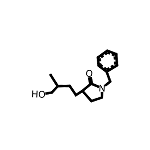 CC(CO)CCC1CCN(Cc2ccccc2)C1=O